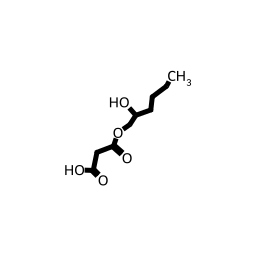 CCCCC(O)COC(=O)CC(=O)O